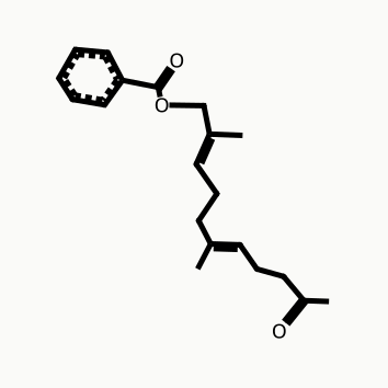 CC(=O)CCC=C(C)CCC=C(C)COC(=O)c1ccccc1